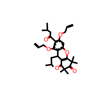 C=CCOc1cc2c(c(OCC=C)c1C(=O)CC(C)C)C(CC(C)C)C1=C(O2)C(C)(C)C(=O)C(C)(C)C1=O